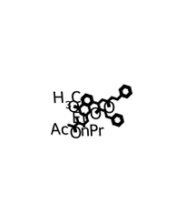 CCCC(CC1CC(=O)c2c(C)ccc(C(CC(=O)CCc3ccccc3)C(=O)CCc3ccccc3)c2C1)C(CC)C(=O)CC(C)=O